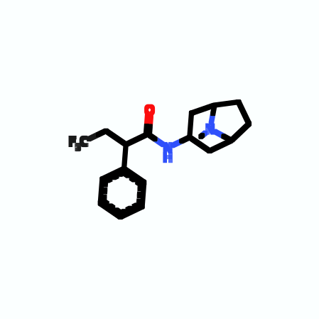 CN1C2CCC1CC(NC(=O)C(CC(F)(F)F)c1ccccc1)C2